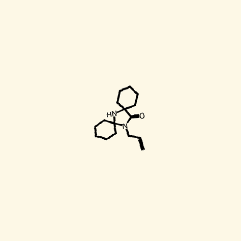 C=CCN1C(=O)C2(CCCCC2)NC12CCCCC2